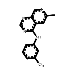 Cc1cc2c(Nc3cccc(C(F)(F)F)c3)ncnc2cn1